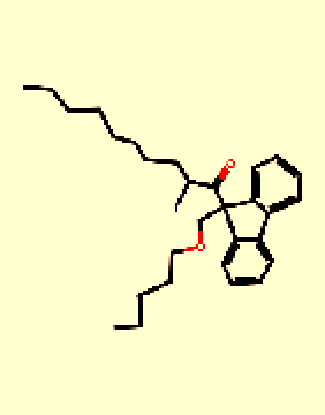 CCCCCCCCC(I)C(=O)C1(COCCCCC)c2ccccc2-c2ccccc21